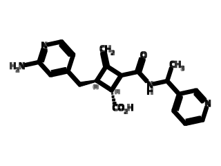 C=C1C(C(=O)NC(C)c2cccnc2)[C@H](C(=O)O)[C@H]1Cc1ccnc(N)c1